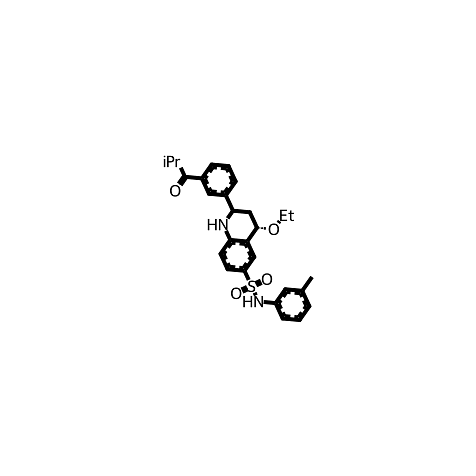 CCO[C@H]1CC(c2cccc(C(=O)C(C)C)c2)Nc2ccc(S(=O)(=O)Nc3cccc(C)c3)cc21